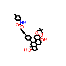 Cc1ccc(NC(=O)OCC#Cc2ccc(C3CC4(C)C(CC[C@@H]4O)C4CCC5(O)CC6(CCC5=C34)OCC(C)(C)CO6)cc2)cc1